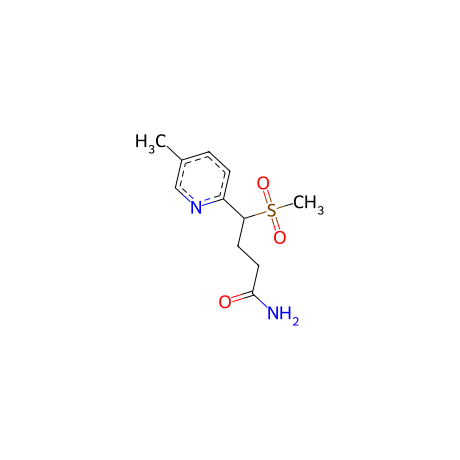 Cc1ccc(C(CCC(N)=O)S(C)(=O)=O)nc1